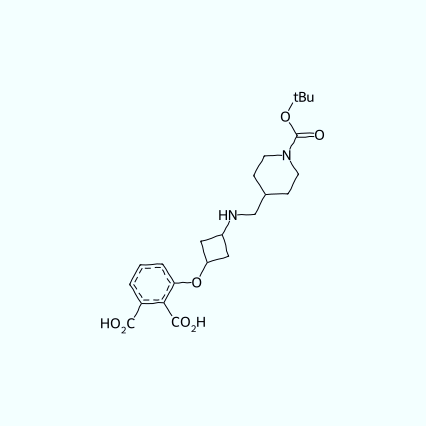 CC(C)(C)OC(=O)N1CCC(CNC2CC(Oc3cccc(C(=O)O)c3C(=O)O)C2)CC1